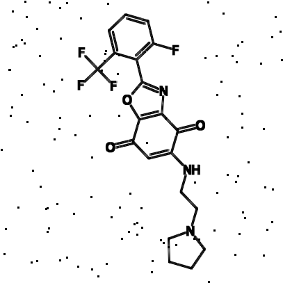 O=C1C(NCCN2CCCC2)=CC(=O)c2oc(-c3c(F)cccc3C(F)(F)F)nc21